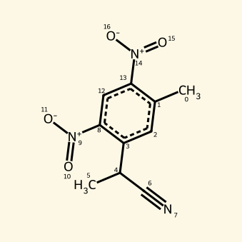 Cc1cc(C(C)C#N)c([N+](=O)[O-])cc1[N+](=O)[O-]